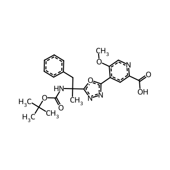 COc1cnc(C(=O)O)cc1-c1nnc(C(C)(Cc2ccccc2)NC(=O)OC(C)(C)C)o1